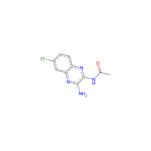 CC(=O)Nc1nc2ccc(Cl)cc2nc1N